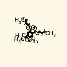 CCCCOC(=O)c1cc(C)c(C(C)(C)C)cc1C(=O)OCCCC